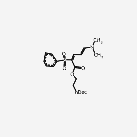 CCCCCCCCCCCCOC(=O)C(=CC=CN(C)C)S(=O)(=O)c1ccccc1